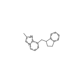 Cc1cn2cccc(CC3CCc4ccccc43)c2n1